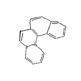 C1=CB2C=Cc3ccc4ccccc4c3N2C=C1